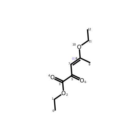 CCOC(=O)C(=O)/C=C(\C)OCC